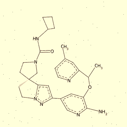 Cc1ccnc(C(C)Oc2cc(-c3cc4n(n3)CC[C@@]43CCN(C(=O)NC4CCC4)C3)cnc2N)c1